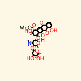 COC(=O)[C@@H]1c2cc3c(c(O)c2[C@@H](O[C@H]2C[C@H](N(C)C)C(O[C@H]4C[C@H](O)[C@H](O)[C@H](C)O4)[C@H](C)O2)C[C@@]1(C)O)C(=O)c1c(O)cccc1C3=O